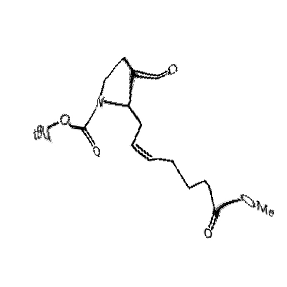 COC(=O)CCC/C=C\CC1C(=O)CCN1C(=O)OC(C)(C)C